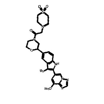 COc1cc(-c2[nH]c3ccc(C4CN(C(=O)CN5CCS(=O)(=O)CC5)CCO4)cc3c2C(C)C)cn2ncnc12